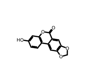 O=c1oc2cc(O)ccc2c2cc3c(cc12)OCO3